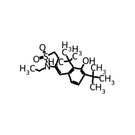 CCN1C(=Cc2ccc(C(C)(C)C)c(O)c2C(C)(C)C)CCS1(=O)=O